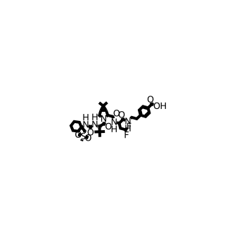 CC1(C)C2CN(C(=O)[C@@H](NC(=O)NC3(CS(C)(=O)=O)CCCCC3)C(C)(C)C)C(C(=O)NC(CC(F)F)C(=O)NCCc3ccc(C(=O)O)cc3)C21